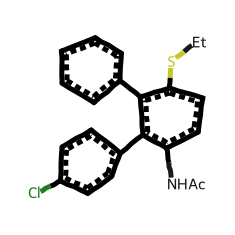 CCSc1ccc(NC(C)=O)c(-c2ccc(Cl)cc2)c1-c1ccccc1